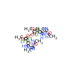 C=CC(=O)NC1=C(c2n[nH]c3c2CC[C@@H](C2C(Cl)=C(OC)C=C(OCCOc4cc(OC)c(Cl)c([C@H]5CCc6c(-c7c(NC(=O)C=C)cnn7C)n[nH]c6C5)c4Cl)C2Cl)C3)N(C)N=CC1